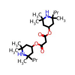 CC(C)C1(C)CC(OC(=O)CC(=O)OC2CC(C)(C)NC(C)(C(C)C)C2)CC(C)(C)N1